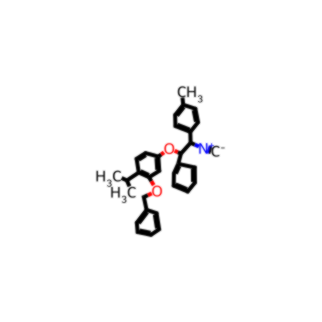 [C-]#[N+]C(c1ccc(C)cc1)C(Oc1ccc(C(C)C)c(OCc2ccccc2)c1)c1ccccc1